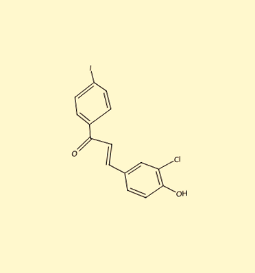 O=C(/C=C/c1ccc(O)c(Cl)c1)c1ccc(I)cc1